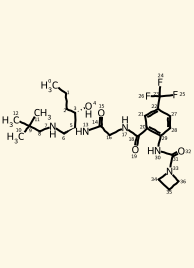 CCC[C@H](O)[C@H](CNCC(C)(C)C)NC(=O)CNC(=O)c1cc(C(F)(F)F)ccc1NC(=O)N1CCC1